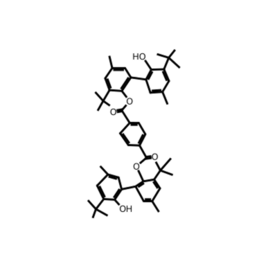 Cc1cc(-c2cc(C)cc(C(C)(C)C)c2OC(=O)c2ccc(C(=O)Oc3c(-c4cc(C)cc(C(C)(C)C)c4O)cc(C)cc3C(C)(C)C)cc2)c(O)c(C(C)(C)C)c1